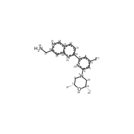 C[C@@H]1CN(c2cc(F)cc(-c3ccc4cnc(CN)cc4n3)n2)C[C@H](C)O1